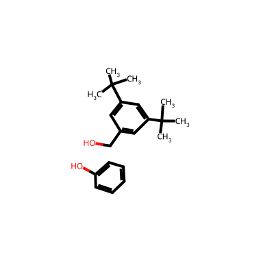 CC(C)(C)c1cc(CO)cc(C(C)(C)C)c1.Oc1ccccc1